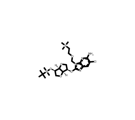 CC(C)(C)[Si](C)(C)O[C@@H]1CO[C@H]2[C@@H]1OC[C@H]2Oc1nc2cc(Cl)c(N)nc2n1COCC[Si](C)(C)C